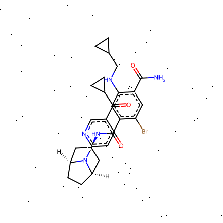 NC(=O)c1cc(Br)c(C(=O)N[C@H]2C[C@H]3CC[C@@H](C2)N3c2ccc(C(=O)C3CC3)cn2)cc1NCC1CC1